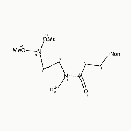 CCCCCCCCCCCC(=O)N(CCC)CCN(OC)OC